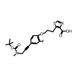 CN(CC#Cc1ccc(OCCCc2scnc2C(=O)O)c(F)c1)C(=O)OC(C)(C)C